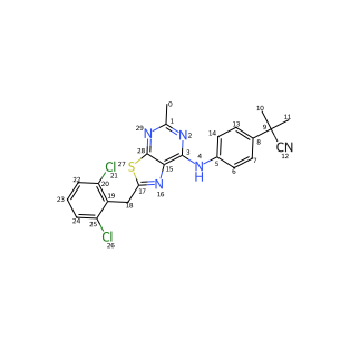 Cc1nc(Nc2ccc(C(C)(C)C#N)cc2)c2nc(Cc3c(Cl)cccc3Cl)sc2n1